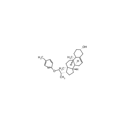 Cc1ccc(OCC(C)[C@H]2CC[C@H]3[C@@H]4CC=C5C[C@@H](O)CC[C@]5(C)[C@H]4CC[C@]23C)nc1